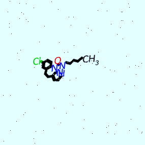 CCCCCCNC(=O)N1c2ccc(Cl)cc2CCc2cccnc21